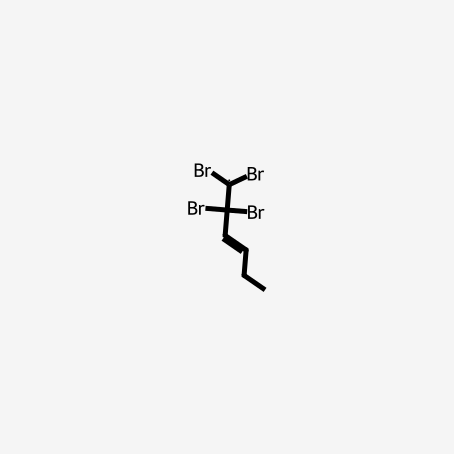 CCC=CC(Br)(Br)[C](Br)Br